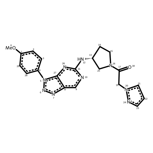 COc1ccc(-n2nnc3cnc(N[C@@H]4CCN(C(=O)Cn5cccn5)C4)nc32)cc1